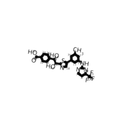 Cc1cc(Nc2nccc(C(F)(F)F)n2)cc(-c2cnc([C@@H](O)[C@H](O)c3ccc(C(=O)O)cc3)s2)c1